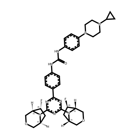 O=C(Nc1ccc(-c2nc(N3[C@@H]4COC[C@H]3[C@H](F)C4)nc(N3[C@@H]4COC[C@H]3[C@H](F)C4)n2)cc1)Nc1ccc(N2CCN(C3CC3)CC2)cc1